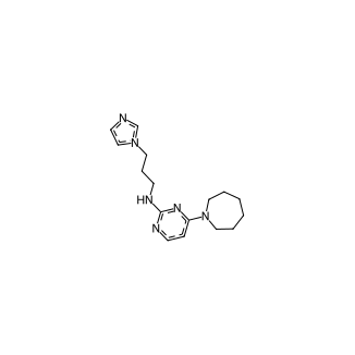 c1cn(CCCNc2nccc(N3CCCCCC3)n2)cn1